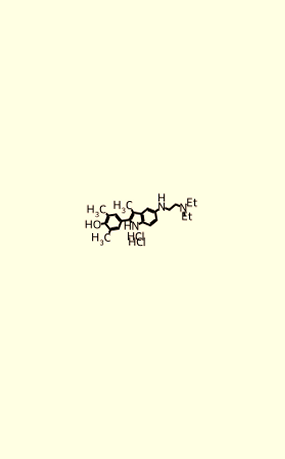 CCN(CC)CCNc1ccc2[nH]c(-c3cc(C)c(O)c(C)c3)c(C)c2c1.Cl.Cl